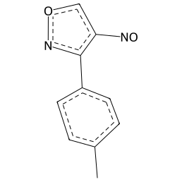 Cc1ccc(-c2nocc2N=O)cc1